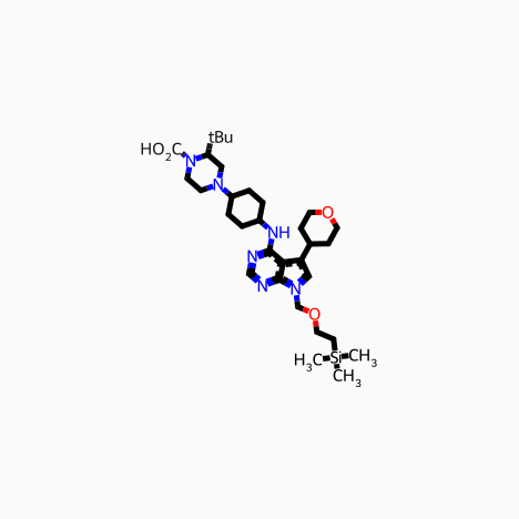 CC(C)(C)C1CN(C2CCC(Nc3ncnc4c3c(C3CCOCC3)cn4COCC[Si](C)(C)C)CC2)CCN1C(=O)O